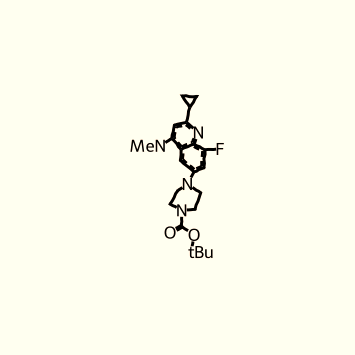 CNc1cc(C2CC2)nc2c(F)cc(N3CCN(C(=O)OC(C)(C)C)CC3)cc12